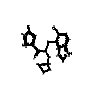 Cc1cc(C(=O)N(Cc2c(Cl)ccc3[nH]cnc23)CC2CCC2)[nH]n1